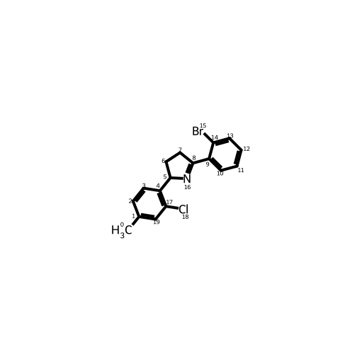 Cc1ccc(C2CCC(c3ccccc3Br)=N2)c(Cl)c1